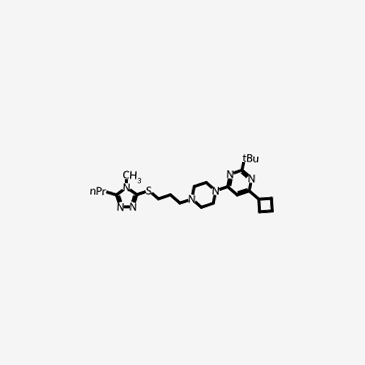 CCCc1nnc(SCCCN2CCN(c3cc(C4CCC4)nc(C(C)(C)C)n3)CC2)n1C